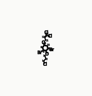 ClCCCOc1c(Br)cc(OCC=C(Cl)Cl)cc1Br